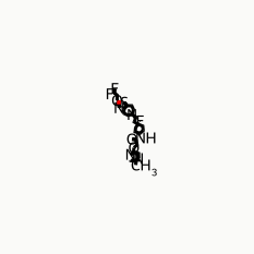 Cc1cnc(OCC(=O)N[C@H]2CC[C@](F)(CCN3CCc4nc(OCC(F)F)sc4CC3)CC2)cn1